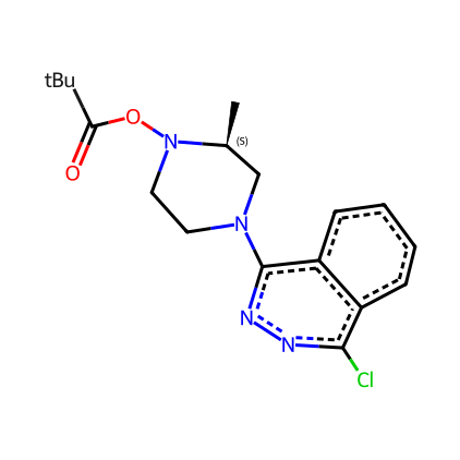 C[C@H]1CN(c2nnc(Cl)c3ccccc23)CCN1OC(=O)C(C)(C)C